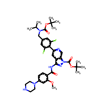 COc1cc(N2CCNCC2)ccc1C(=O)Nc1nn(C(=O)OC(C)(C)C)c2cnc(-c3c(F)cc(CN(C(=O)OC(C)(C)C)C(C)C)cc3F)cc12